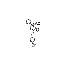 CC(=O)C[C@]1(c2ccccc2)CCN(CCc2ccc(Br)cc2)C(=O)O1